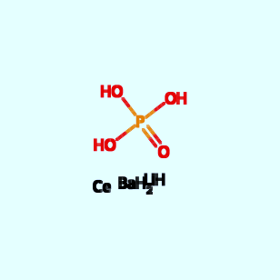 O=P(O)(O)O.[BaH2].[Ce].[LiH]